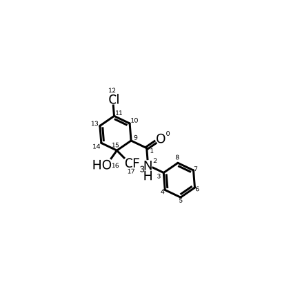 O=C(Nc1ccccc1)C1C=C(Cl)C=CC1(O)C(F)(F)F